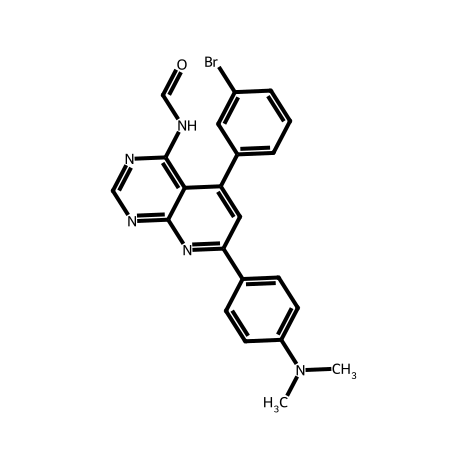 CN(C)c1ccc(-c2cc(-c3cccc(Br)c3)c3c(NC=O)ncnc3n2)cc1